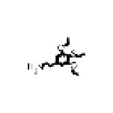 CCOc1cc(CCN)cc(OCC)c1SCC